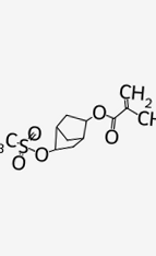 C=C(C)C(=O)OC1CC2CC1CC2OS(C)(=O)=O